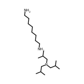 CC(C)CN(CC(C)C)CC(C)C.NCCCCCCCCN